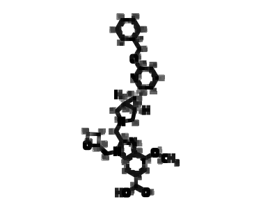 COc1cc(C(=O)O)cc2c1nc(CN1C[C@@H]3[C@H](C1)[C@H]3c1cccc(OCc3ccccc3)n1)n2C[C@@H]1CCO1